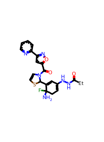 CCC(=O)NNC1=CCC(N)(F)C(C2SC=CN2C(=O)c2cc(-c3ccccn3)no2)=C1